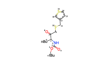 CCCCC(NC(=O)OC(C)(C)C)C(=O)CSCc1ccsc1